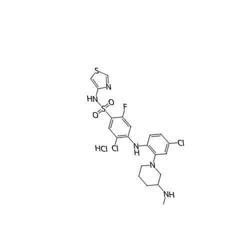 CNC1CCCN(c2cc(Cl)ccc2Nc2cc(F)c(S(=O)(=O)Nc3cscn3)cc2Cl)C1.Cl